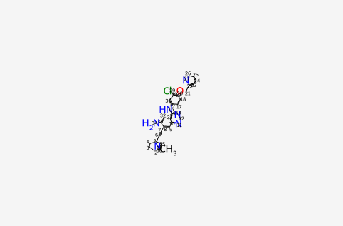 CN1C2CCC1(C#Cc1cc3ncnc(Nc4ccc(OCc5ccccn5)c(Cl)c4)c3cc1N)CC2